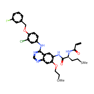 C=CC(=O)N[C@@H](CCSC)C(=O)Nc1cc2c(Nc3ccc(OCc4cccc(F)c4)c(Cl)c3)ncnc2cc1OCCOC